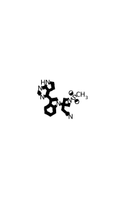 CS(=O)(=O)N1CC(CC#N)(n2cc(-c3ncnc4[nH]ccc34)c3ccccc32)C1